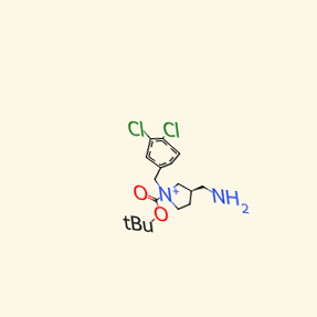 CC(C)(C)OC(=O)[N+]1(Cc2ccc(Cl)c(Cl)c2)CC[C@H](CN)C1